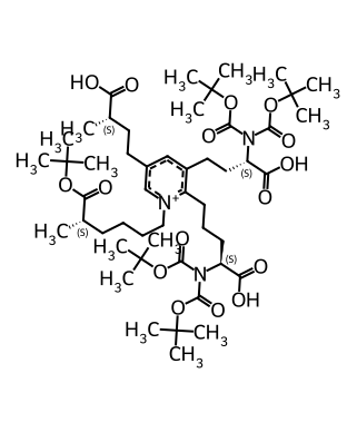 C[C@@H](CCc1cc(CC[C@@H](C(=O)O)N(C(=O)OC(C)(C)C)C(=O)OC(C)(C)C)c(CCC[C@@H](C(=O)O)N(C(=O)OC(C)(C)C)C(=O)OC(C)(C)C)[n+](CCCC[C@H](C)C(=O)OC(C)(C)C)c1)C(=O)O